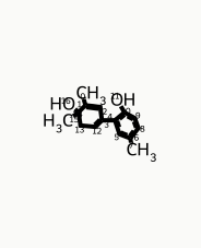 CC1=CC(c2cc(C)ccc2O)=CCC1(C)O